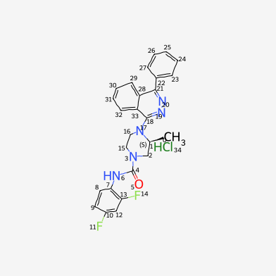 C[C@H]1CN(C(=O)Nc2ccc(F)cc2F)CCN1c1nnc(-c2ccccc2)c2ccccc12.Cl